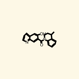 CC1CCN(C(=O)c2cc3ncccc3cc2O)c2ccccc21